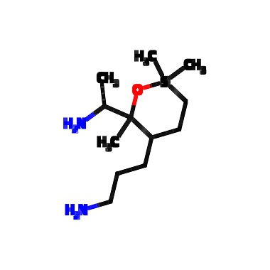 CC(N)C1(C)O[Si](C)(C)CCC1CCCN